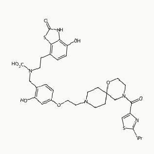 CC(C)c1nc(C(=O)N2CCOC3(CCN(CCOc4ccc(CN(CCc5ccc(O)c6[nH]c(=O)sc56)C(=O)O)c(O)c4)CC3)C2)cs1